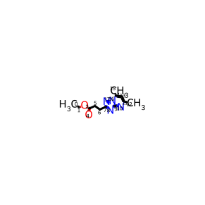 CCOC(=O)CCc1nc2nc(C)cc(C)n2n1